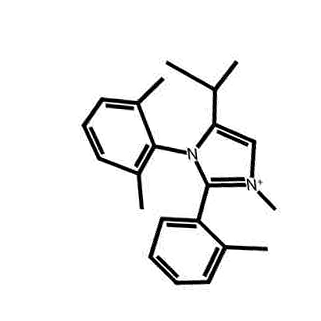 Cc1ccccc1-c1n(-c2c(C)cccc2C)c(C(C)C)c[n+]1C